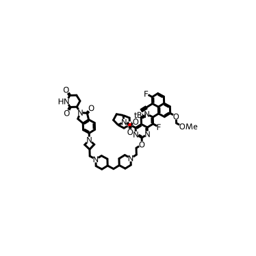 C#Cc1c(F)ccc2cc(OCOC)cc(-c3ncc4c(N5CC6CCC(C5)N6C(=O)OC(C)(C)C)nc(OCCN5CCC(CC6CCN(CC7CN(c8ccc9c(c8)CN(C8CCC(=O)NC8=O)C9=O)C7)CC6)CC5)nc4c3F)c12